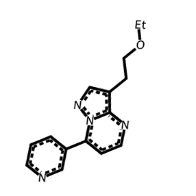 CCOCCc1cnn2c(-c3cccnc3)ccnc12